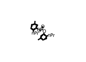 CCCc1ccc(C)cc1O[PH](=O)Oc1cc(C)ccc1CCC